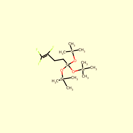 C[Si](C)(C)O[Si](CCC(F)=C(F)F)(O[Si](C)(C)C)O[Si](C)(C)C